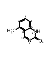 Cc1cccc2[nH]c(=O)ncc12